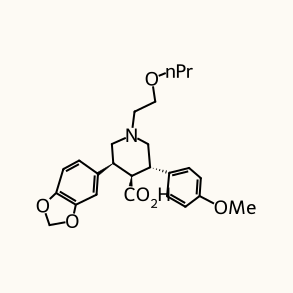 CCCOCCN1C[C@H](c2ccc(OC)cc2)[C@@H](C(=O)O)[C@@H](c2ccc3c(c2)OCO3)C1